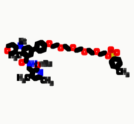 CCCCOc1nc(C)cc(C)c1CNC(=O)c1cc(-c2ccc(OCCOCCOCCOCCOCCOS(=O)(=O)c3ccc(C)cc3)cc2)cc(N(CC)C2CCOCC2)c1C